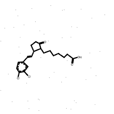 O=C(O)CCCCCCC1C(=O)CCC1C=Cc1ccc(Cl)c(Cl)c1